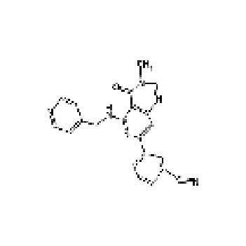 Cn1cnc2cc(-c3cccc(C#N)c3)nc(NCc3ccncc3)c2c1=O